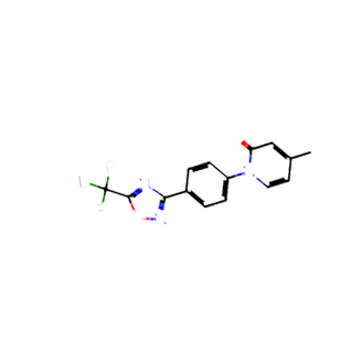 Cc1ccn(-c2ccc(-c3noc(C(F)(F)F)n3)cc2)c(=O)c1